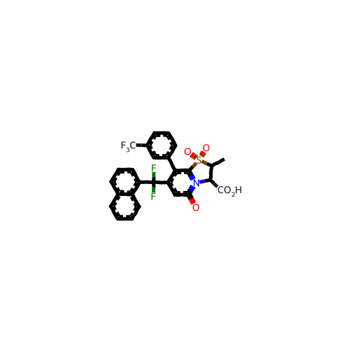 CC1C(C(=O)O)n2c(c(-c3cccc(C(F)(F)F)c3)c(C(F)(F)c3cccc4ccccc34)cc2=O)S1(=O)=O